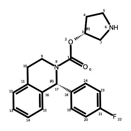 O=C(O[C@@H]1CCNC1)N1CCc2ccccc2[C@H]1c1ccc(F)cc1